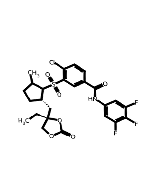 CC[C@]1(C[C@@H]2CCC(C)C2S(=O)(=O)c2cc(C(=O)Nc3cc(F)c(F)c(F)c3)ccc2Cl)COC(=O)O1